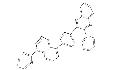 c1ccc(-c2nc3ccccc3nc2-c2ccc(-c3cccc4c(-c5ccccn5)cccc34)cc2)cc1